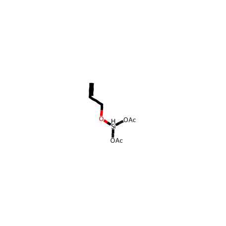 C=CCO[SiH](OC(C)=O)OC(C)=O